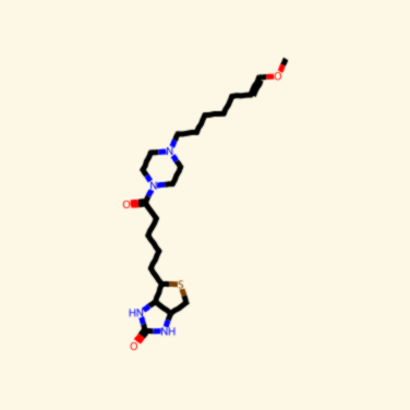 COC=CCCCCCN1CCN(C(=O)CCCCC2SCC3NC(=O)NC32)CC1